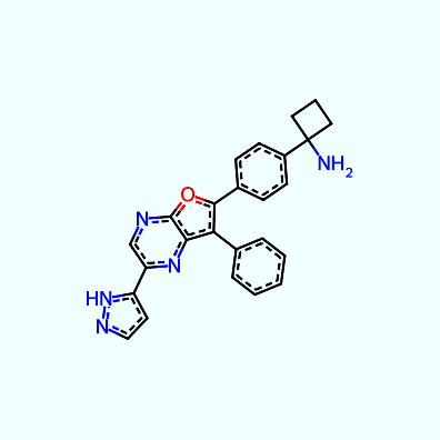 NC1(c2ccc(-c3oc4ncc(-c5ccn[nH]5)nc4c3-c3ccccc3)cc2)CCC1